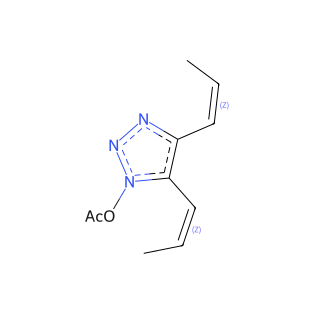 C/C=C\c1nnn(OC(C)=O)c1/C=C\C